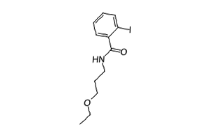 CCOCCCNC(=O)c1ccccc1I